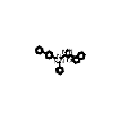 c1ccc(-c2ccc(-c3nc(-c4ccccc4)nc(-c4ncnc5c4oc4ccc6ccccc6c45)n3)cc2)cc1